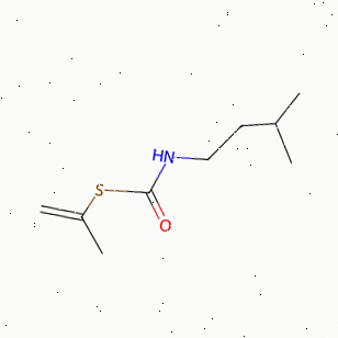 C=C(C)SC(=O)NCCC(C)C